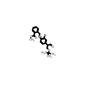 COC(=O)c1ccccc1CNc1ccc(C(C=O)COC(C)(C)C)cc1Br